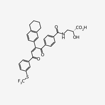 O=C(/C=C(\C(=O)c1ccc(C(=O)NC[C@@H](O)C(=O)O)cc1)c1ccc2c(c1)CCCC2)c1cccc(SC(F)(F)F)c1